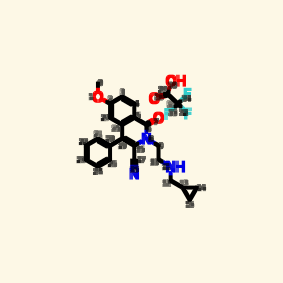 COc1ccc2c(=O)n(CCNCC3CC3)c(C#N)c(-c3ccccc3)c2c1.O=C(O)C(F)(F)F